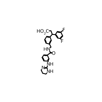 O=C(O)CC(c1cc(F)cc(F)c1)c1cccc(CNC(=O)c2cccc(NC3=NCCCN3)c2)c1